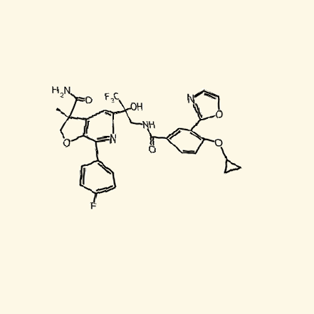 C[C@]1(C(N)=O)COc2c1cc(C(O)(CNC(=O)c1ccc(OC3CC3)c(-c3ncco3)c1)C(F)(F)F)nc2-c1ccc(F)cc1